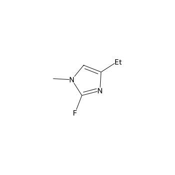 CCc1cn(C)c(F)n1